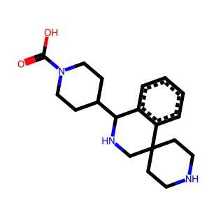 O=C(O)N1CCC(C2NCC3(CCNCC3)c3ccccc32)CC1